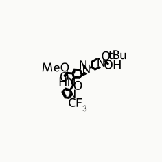 COC(=O)c1cc2nn(C3CCN(C(O)OC(C)(C)C)CC3)cc2cc1NC(=O)c1cccc(C(F)(F)F)n1